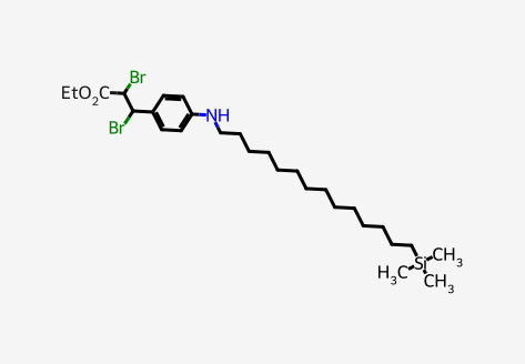 CCOC(=O)C(Br)C(Br)c1ccc(NCCCCCCCCCCCCCC[Si](C)(C)C)cc1